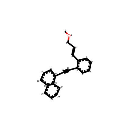 COCC=Cc1ccccc1C#Cc1cccc2ccccc12